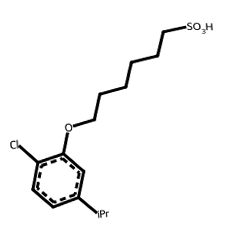 CC(C)c1ccc(Cl)c(OCCCCCCS(=O)(=O)O)c1